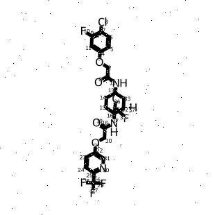 O=C(COc1ccc(Cl)c(F)c1)NC12CCC(NC(=O)COc3ccc(C(F)(F)F)nc3)(CC1)[C@H](F)C2